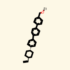 C=C[C@H]1CC[C@H](c2ccc(-c3ccc(-c4ccc(COCC)cc4)cc3)cc2)CC1